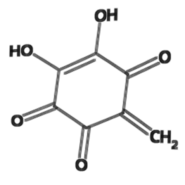 C=C1C(=O)C(=O)C(O)=C(O)C1=O